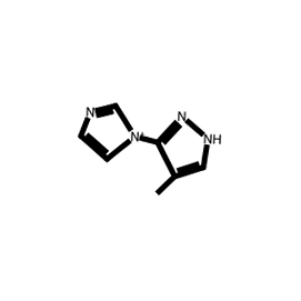 Cc1c[nH]nc1[N+]1C=CN=C1